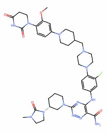 COc1cc(N2CCC(CN3CCN(c4ccc(Nc5nc(N6CCC[C@@H](N7CCN(C)C7=O)C6)nnc5C(N)=O)cc4F)CC3)CC2)ccc1N1CCC(=O)NC1=O